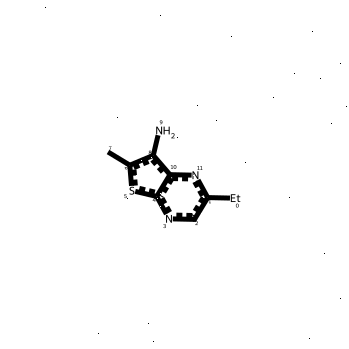 CCc1cnc2sc(C)c(N)c2n1